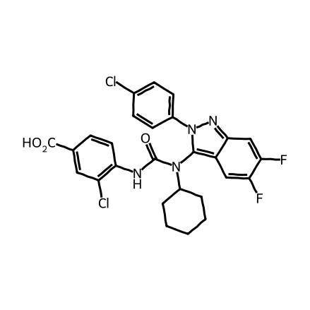 O=C(O)c1ccc(NC(=O)N(c2c3cc(F)c(F)cc3nn2-c2ccc(Cl)cc2)C2CCCCC2)c(Cl)c1